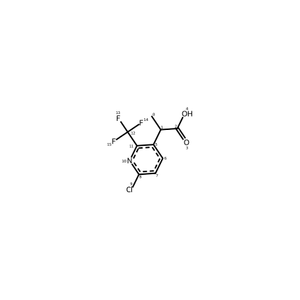 CC(C(=O)O)c1ccc(Cl)nc1C(F)(F)F